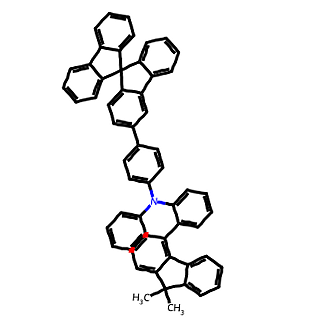 CC1(C)c2ccccc2-c2c(-c3ccccc3N(c3ccccc3)c3ccc(-c4ccc5c(c4)-c4ccccc4C54c5ccccc5-c5ccccc54)cc3)cccc21